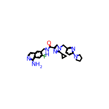 Nc1nccc2cc(CNC(=O)c3cn(Cc4ccc(N5CCCC5)nc4)c(C4CC4)n3)c(F)cc12